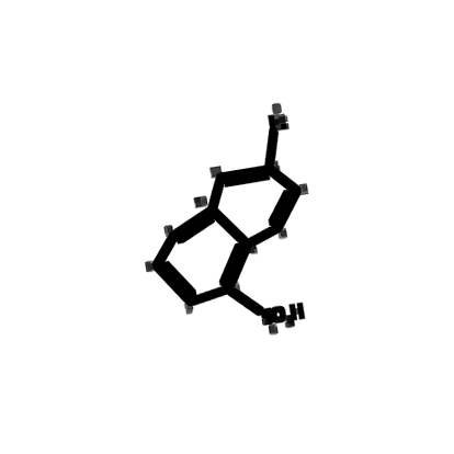 CCc1ccc2c(S(=O)(=O)O)cccc2c1